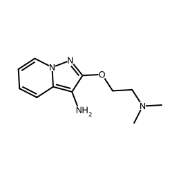 CN(C)CCOc1nn2ccccc2c1N